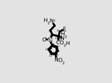 NCCC([S+]([O-])c1ccc([N+](=O)[O-])cc1)C(N)(CF)C(=O)O